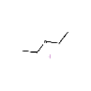 C[CH2][In][CH2]C.I